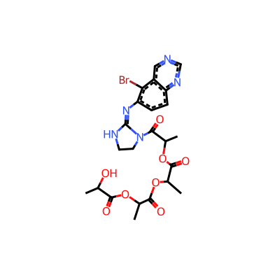 CC(O)C(=O)OC(C)C(=O)OC(C)C(=O)OC(C)C(=O)N1CCN/C1=N/c1ccc2ncncc2c1Br